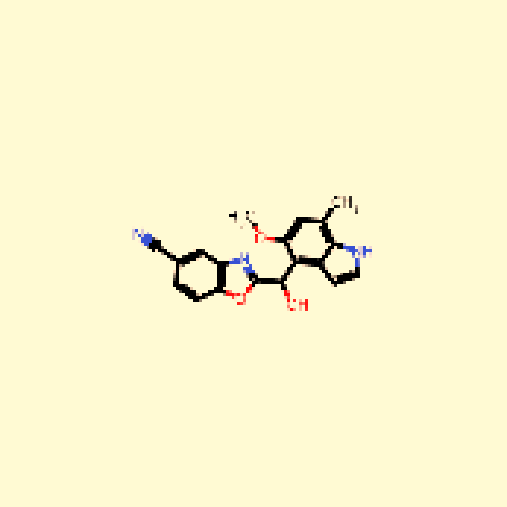 COc1cc(C)c2[nH]ccc2c1C(O)c1nc2cc(C#N)ccc2o1